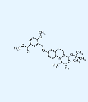 COC(=O)c1ccc(OC)c(COc2ccc3c(c2)CCN(C(=O)OC(C)(C)C)[C@H]3C(C)C)c1